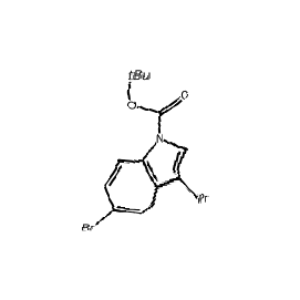 CC(C)c1cn(C(=O)OC(C)(C)C)c2ccc(Br)cc12